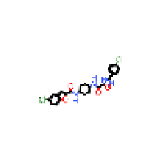 O=C(NC1CCC(NC(=O)c2nc(-c3ccc(Cl)cc3)no2)CC1)c1cc2cc(Cl)ccc2o1